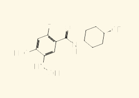 Cc1cc(F)c(C(=O)N[C@H]2CC[C@H](C(F)(F)F)CC2)cc1NO